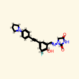 O=C1CN(/N=C/c2cc(C#Cc3ccc(N4CCCC4)cc3)cc(F)c2O)C(=O)N1